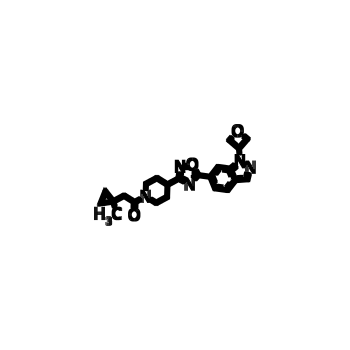 CC1(CC(=O)N2CCC(c3noc(-c4ccc5cnn(C6COC6)c5c4)n3)CC2)CC1